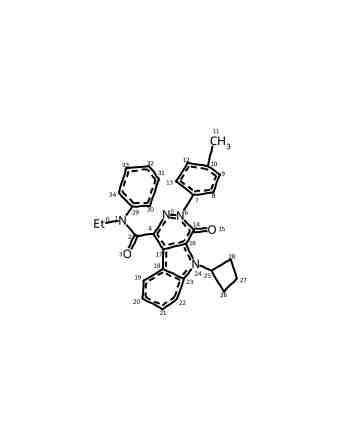 CCN(C(=O)c1nn(-c2ccc(C)cc2)c(=O)c2c1c1ccccc1n2C1CCC1)c1ccccc1